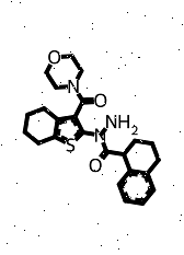 NN(C(=O)C1CCCc2ccccc21)c1sc2c(c1C(=O)N1CCOCC1)CCCC2